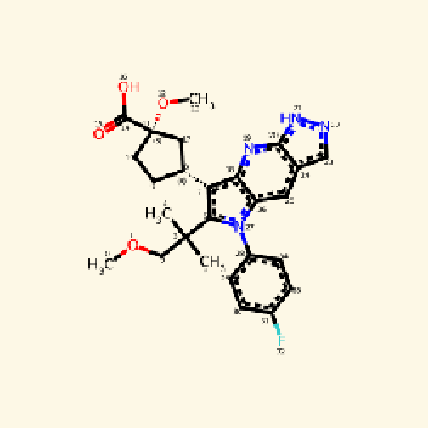 COCC(C)(C)c1c([C@@H]2CC[C@@](OC)(C(=O)O)C2)c2nc3[nH]ncc3cc2n1-c1ccc(F)cc1